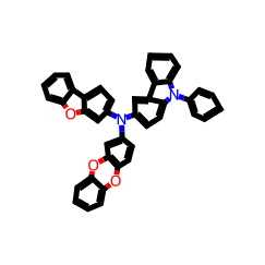 c1ccc(-n2c3ccccc3c3cc(N(c4ccc5c(c4)Oc4ccccc4O5)c4ccc5c(c4)oc4ccccc45)ccc32)cc1